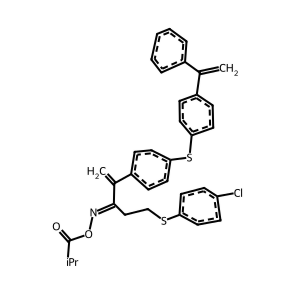 C=C(/C(CCSc1ccc(Cl)cc1)=N/OC(=O)C(C)C)c1ccc(Sc2ccc(C(=C)c3ccccc3)cc2)cc1